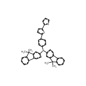 CC1(C)c2ccccc2-c2ccc(N(c3ccc(-c4ccc(-c5cccs5)s4)cc3)c3ccc4c(c3)C(C)(C)c3ccccc3-4)cc21